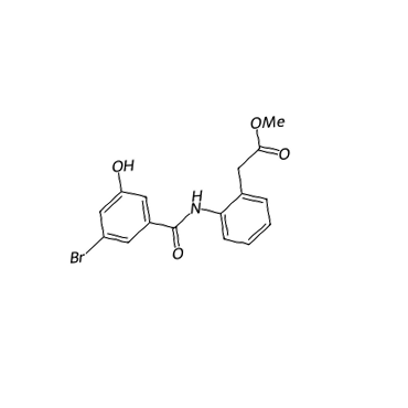 COC(=O)Cc1ccccc1NC(=O)c1cc(O)cc(Br)c1